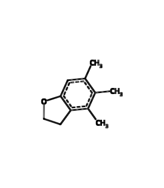 Cc1cc2c(c(C)c1C)CCO2